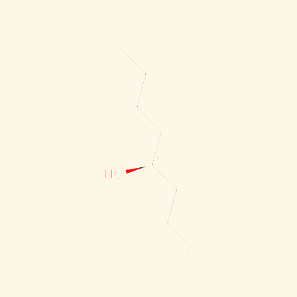 CCCC[C@H](O)CCC